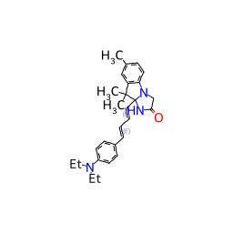 CCN(CC)c1ccc(/C=C/C=C/C23NC(=O)CN2c2ccc(C)cc2C3(C)C)cc1